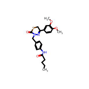 CCCCC(=O)Nc1ccc(CN2N=C(c3ccc(OC)c(OC)c3)CSC2=O)cc1